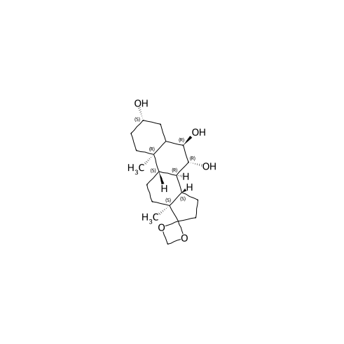 C[C@]12CC[C@H](O)CC1[C@@H](O)[C@H](O)[C@@H]1[C@@H]2CC[C@@]2(C)[C@H]1CCC21OCO1